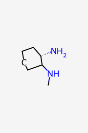 CNC1CCCC[C@@H]1N